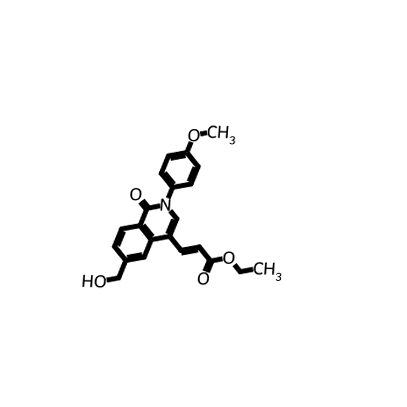 CCOC(=O)/C=C/c1cn(-c2ccc(OC)cc2)c(=O)c2ccc(CO)cc12